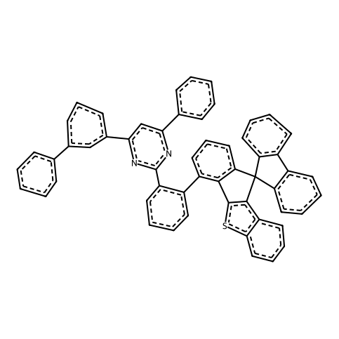 c1ccc(-c2cccc(-c3cc(-c4ccccc4)nc(-c4ccccc4-c4cccc5c4-c4sc6ccccc6c4C54c5ccccc5-c5ccccc54)n3)c2)cc1